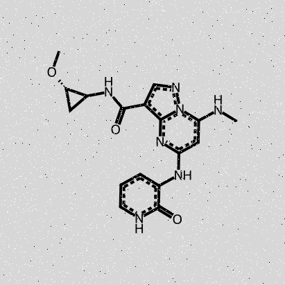 CNc1cc(Nc2ccc[nH]c2=O)nc2c(C(=O)NC3C[C@@H]3OC)cnn12